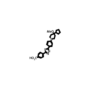 COC1(C2CCCC2)CCN(c2ccc(-c3nnc(-c4ccc(C(=O)O)cc4)s3)cc2)CC1